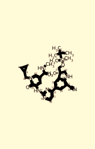 CNC(=O)c1cc(Nc2nccc(-c3cc(C#N)c4c(c3)[C@@](C)(CO[Si](C)(C)C(C)(C)C)CN4)n2)c(=O)n(CC2CC2)c1